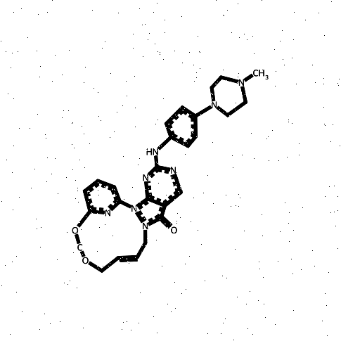 CN1CCN(c2ccc(Nc3ncc4c(=O)n5n(c4n3)-c3cccc(n3)OCOC/C=C/C5)cc2)CC1